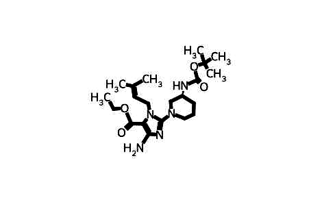 CCOC(=O)c1c(N)nc(N2CCC[C@@H](NC(=O)OC(C)(C)C)C2)n1CC=C(C)C